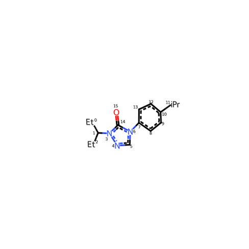 CCC(CC)n1ncn(-c2ccc(C(C)C)cc2)c1=O